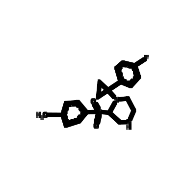 Cc1ccc(S(=O)(=O)C2CNCCN2C2(c3ccc(F)cc3)CC2)cc1